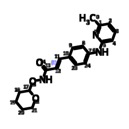 Cc1cccc(Nc2ccc(/C=C/C(=O)NOC3CCCCO3)cc2)n1